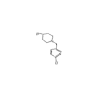 CCC1CCN(Cc2ccc(Cl)nc2)CC1